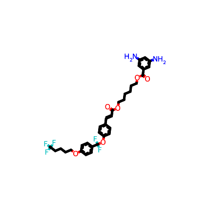 Nc1cc(N)cc(C(=O)OCCCCCCOC(=O)C=Cc2ccc(OC(F)(F)c3ccc(OCCCCC(F)(F)F)cc3)cc2)c1